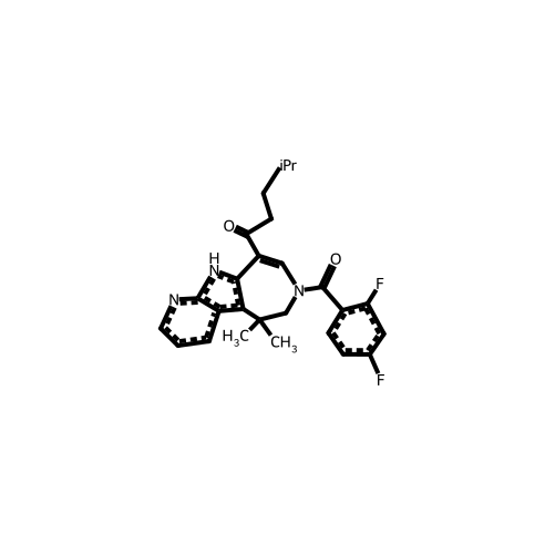 CC(C)CCC(=O)C1=CN(C(=O)c2ccc(F)cc2F)CC(C)(C)c2c1[nH]c1ncccc21